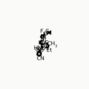 CC[C@@H]1CN(c2nc(-n3ccc(OCC4(C(F)(F)F)CC4)n3)ccc2C(=O)NS(=O)(=O)c2ccc(C#N)cc2)C(C)(C)C1